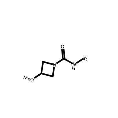 COC1CN(C(=O)NC(C)C)C1